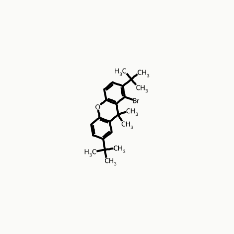 CC(C)(C)c1ccc2c(c1)C(C)(C)c1c(ccc(C(C)(C)C)c1Br)O2